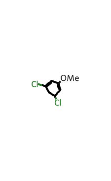 COC1=CC(Cl)CC(Cl)=C1